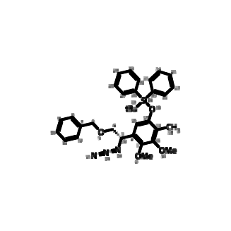 COc1c([C@@H](COCc2ccccc2)N=[N+]=[N-])cc(O[Si](c2ccccc2)(c2ccccc2)C(C)(C)C)c(C)c1OC